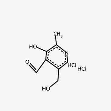 Cc1ncc(CO)c(C=O)c1O.Cl.Cl